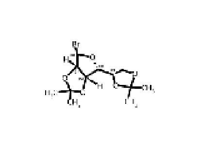 CC1(C)O[C@@H]2[C@H](O1)[C@@H](Br)O[C@@H]2[C@H]1COC(C)(C)O1